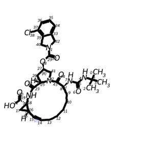 CC(C)(C)NC(=O)N[C@H]1CCCCC/C=C\[C@@H]2C[C@@]2(C(=O)O)NC(=O)[C@@H]2C[C@@H](OC(=O)N3Cc4cccc(Cl)c4C3)CN2C1=O